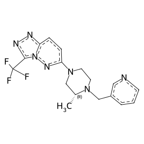 C[C@@H]1CN(c2ccc3nnc(C(F)(F)F)n3n2)CCN1Cc1cccnc1